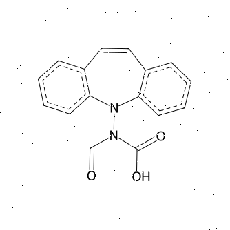 O=CN(C(=O)O)N1c2ccccc2C=Cc2ccccc21